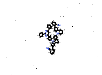 N#Cc1ccccc1-c1ccc2c(c1)c1ccccc1n2-c1cccc(-c2cc(-c3cc(-c4ccccc4)nc(-c4ccccc4)n3)ccc2-n2c3ccccc3c3cc(-c4ccccc4C#N)ccc32)c1